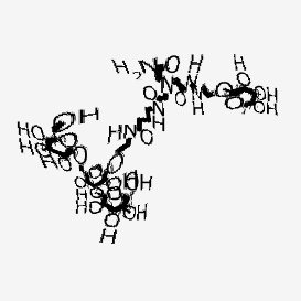 C[C@@H]1O[C@@H](OCCNNC(=O)CN(CC(N)=O)CC(=O)NCCCC(=O)NCCO[C@H]2O[C@H](CO[C@H]3O[C@H](CO)[C@@H](O)[C@H](O)[C@@H]3O)[C@@H](O)[C@H](O[C@H]3O[C@H](CO)[C@@H](O)[C@H](O)[C@@H]3O)[C@@H]2O)[C@@H](O)[C@H](O)[C@@H]1O